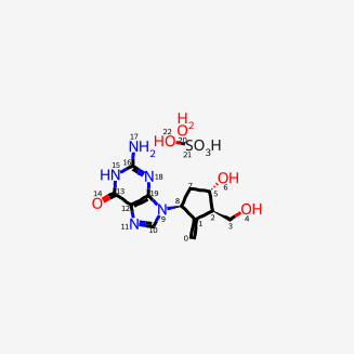 C=C1[C@H](CO)[C@@H](O)C[C@@H]1n1cnc2c(=O)[nH]c(N)nc21.O.O=S(=O)(O)O